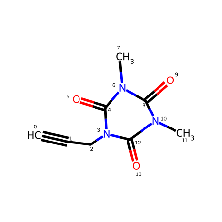 C#CCn1c(=O)n(C)c(=O)n(C)c1=O